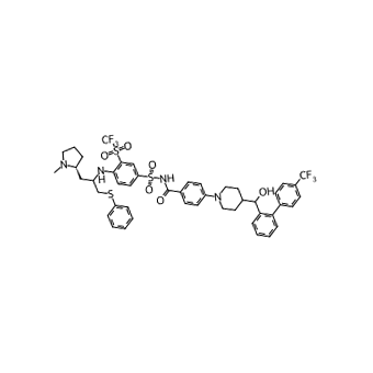 CN1CCC[C@H]1CC(CSc1ccccc1)Nc1ccc(S(=O)(=O)NC(=O)c2ccc(N3CCC(C(O)c4ccccc4-c4ccc(C(F)(F)F)cc4)CC3)cc2)cc1S(=O)(=O)C(F)(F)F